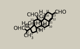 CC(C=O)[C@]1([O])CC[C@H]2[C@@H]3CCC4=CC(C=O)CC[C@]4(C)[C@H]3C(C=O)C[C@@]21C